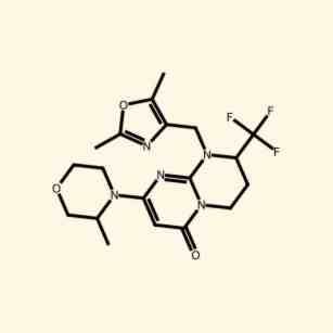 Cc1nc(CN2c3nc(N4CCOCC4C)cc(=O)n3CCC2C(F)(F)F)c(C)o1